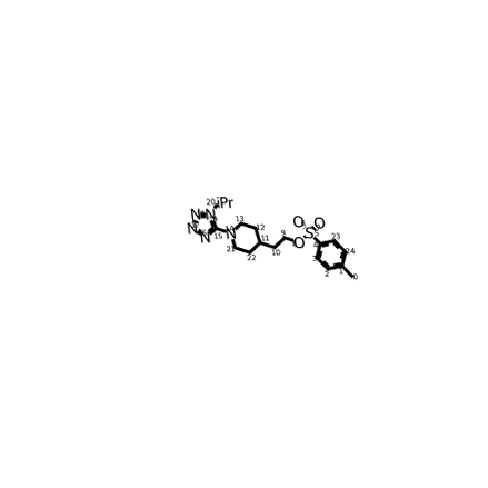 Cc1ccc(S(=O)(=O)OCCC2CCN(c3nnnn3C(C)C)CC2)cc1